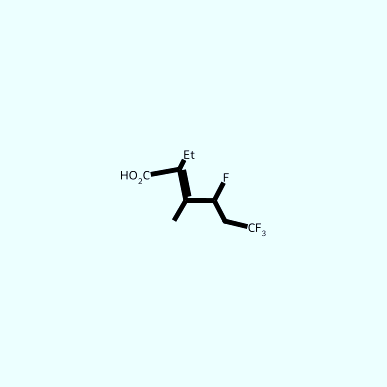 CCC(C(=O)O)=C(C)C(F)CC(F)(F)F